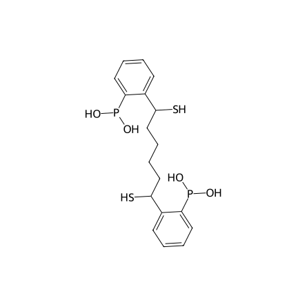 OP(O)c1ccccc1C(S)CCCCC(S)c1ccccc1P(O)O